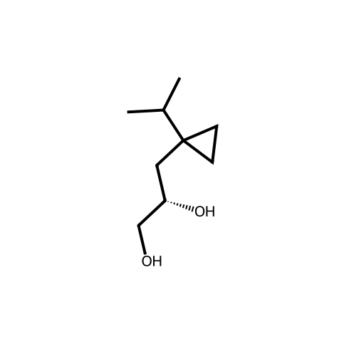 CC(C)C1(C[C@H](O)CO)CC1